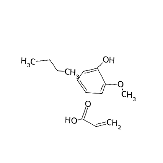 C=CC(=O)O.CCCC.COc1ccccc1O